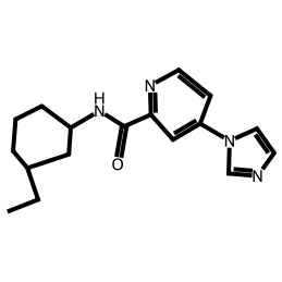 CCC1CCCC(NC(=O)c2cc(-n3ccnc3)ccn2)C1